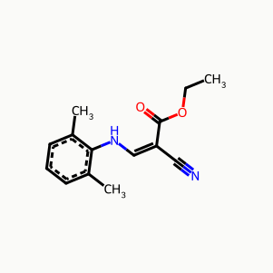 CCOC(=O)C(C#N)=CNc1c(C)cccc1C